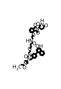 C=CC(=O)N1CC(N2Cc3ccc(-c4cc(O)cc5ccccc45)cc3N(CCOCCC(=O)NCCOc3cccc4c3C(=O)N(C3CCC(=O)NC3=O)C4=O)C2=O)C1